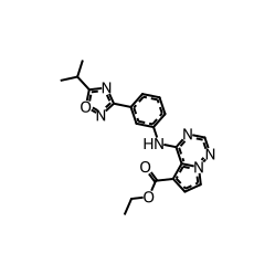 CCOC(=O)c1ccn2ncnc(Nc3cccc(-c4noc(C(C)C)n4)c3)c12